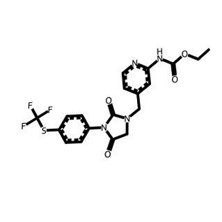 CCOC(=O)Nc1cc(CN2CC(=O)N(c3ccc(SC(F)(F)F)cc3)C2=O)ccn1